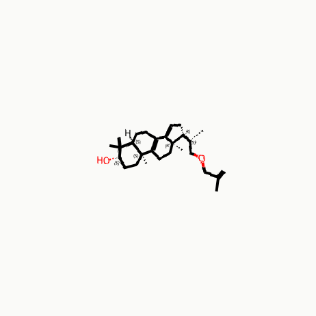 C=C(C)COC[C@@H](C)[C@H]1CC=C2C3=C(CC[C@@]21C)[C@@]1(C)CC[C@H](O)C(C)(C)[C@H]1CC3